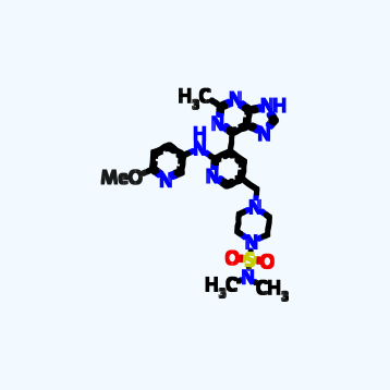 COc1ccc(Nc2ncc(CN3CCN(S(=O)(=O)N(C)C)CC3)cc2-c2nc(C)nc3[nH]cnc23)cn1